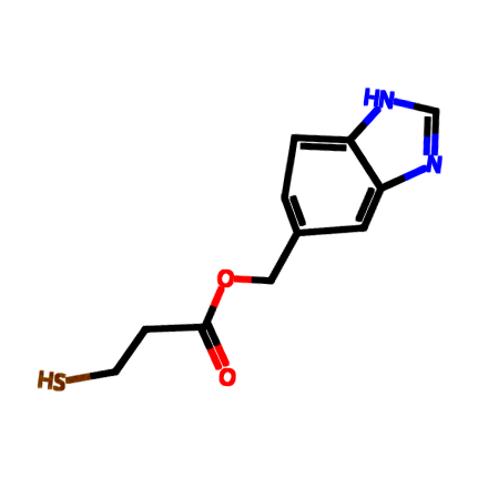 O=C(CCS)OCc1ccc2[nH]cnc2c1